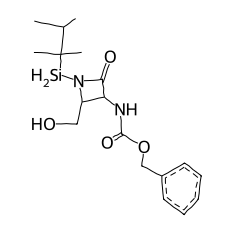 CC(C)C(C)(C)[SiH2]N1C(=O)C(NC(=O)OCc2ccccc2)C1CO